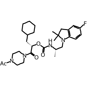 CC(=O)N1CCN(C(=O)[C@H](CC2CCCCC2)OC(=O)N[C@@H](C)CN2c3ccc(F)cc3CC2(C)C)CC1